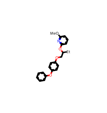 CCC(COc1ccc(Oc2ccccc2)cc1)Oc1cccc(OC)n1